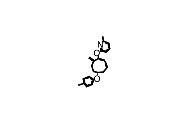 C=C1CC[C@@H](Oc2ccc(C)cc2)C/C=C\C=C/1Oc1cccc(C)n1